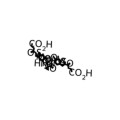 COc1cc2sc(C(=O)CCC(=O)O)cc2cc1NC(=O)C1(C(=O)Nc2cc3cc(C(=O)CCC(=O)O)sc3cc2OC)CC1